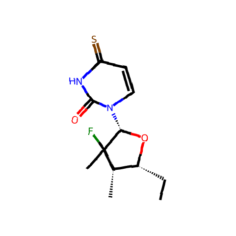 CC[C@H]1O[C@@H](n2ccc(=S)[nH]c2=O)C(C)(F)[C@H]1C